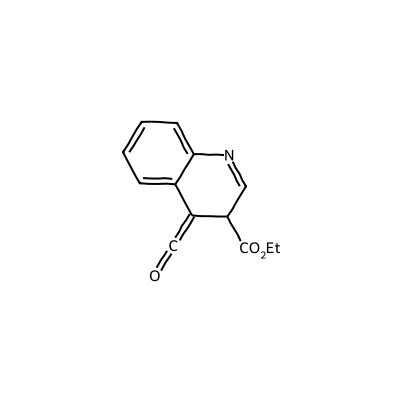 CCOC(=O)C1C=Nc2ccccc2C1=C=O